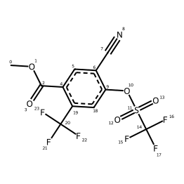 COC(=O)c1cc(C#N)c(OS(=O)(=O)C(F)(F)F)cc1C(F)(F)F